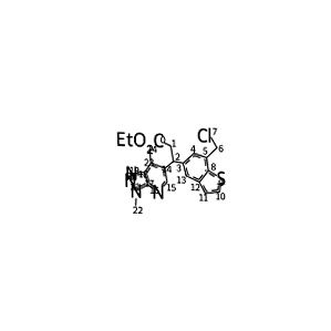 CCOC(=O)CC(c1cc(CCl)c2sccc2c1)c1cnc2c(nnn2C)c1C